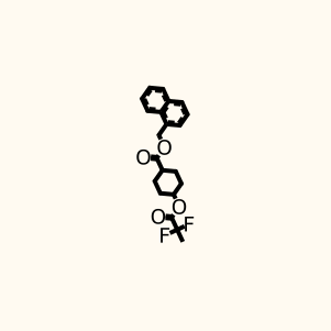 CC(F)(F)C(=O)OC1CCC(C(=O)OCc2cccc3ccccc23)CC1